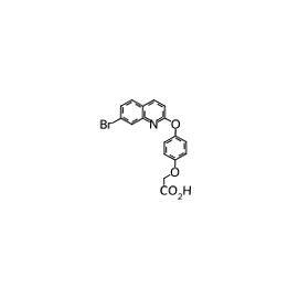 O=C(O)COc1ccc(Oc2ccc3ccc(Br)cc3n2)cc1